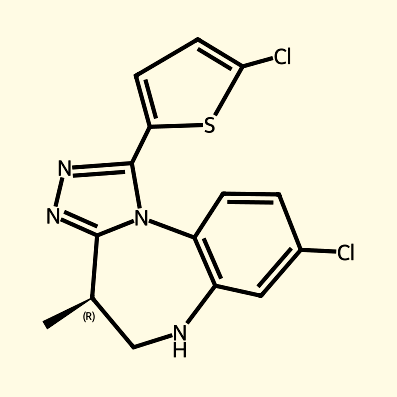 C[C@@H]1CNc2cc(Cl)ccc2-n2c(-c3ccc(Cl)s3)nnc21